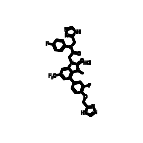 Cl.Cn1c(=O)n(CC(=O)N(Cc2nnc[nH]2)c2ccc(F)cc2)c2cc(C(F)(F)F)cc(-c3ccc(OCc4nnc[nH]4)c(F)c3)c21